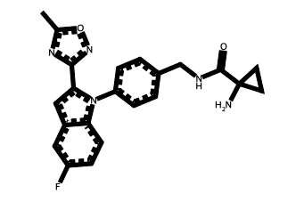 Cc1nc(-c2cc3cc(F)ccc3n2-c2ccc(CNC(=O)C3(N)CC3)cc2)no1